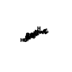 CCN(CC)CCCNc1ccc(-c2ccc(N3C[C@H](CO)OC3=O)cc2F)cn1